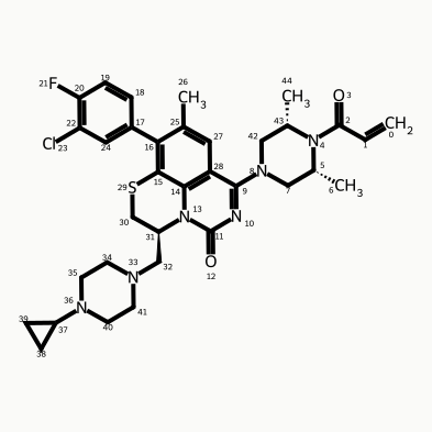 C=CC(=O)N1[C@H](C)CN(c2nc(=O)n3c4c(c(-c5ccc(F)c(Cl)c5)c(C)cc24)SC[C@@H]3CN2CCN(C3CC3)CC2)C[C@@H]1C